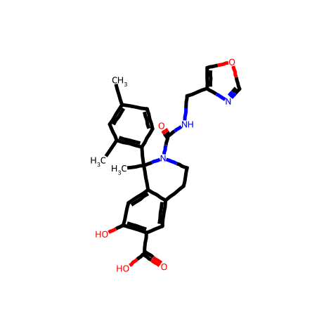 Cc1ccc(C2(C)c3cc(O)c(C(=O)O)cc3CCN2C(=O)NCc2cocn2)c(C)c1